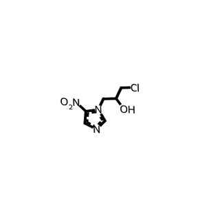 O=[N+]([O-])c1cncn1CC(O)CCl